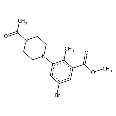 COC(=O)c1cc(Br)cc(N2CCN(C(C)=O)CC2)c1C